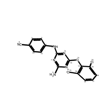 N#Cc1ccc(Nc2nc(N)nc(Oc3c(Cl)cccc3Cl)n2)cc1